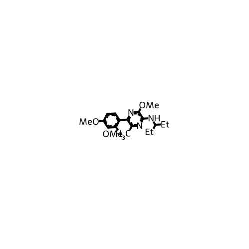 CCC(CC)Nc1nc(C)c(-c2ccc(OC)cc2OC)nc1OC